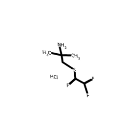 CC(C)(N)CSC(F)C(F)F.Cl